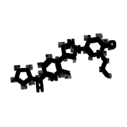 CCCn1cc(-n2cc(-c3ccc(NC4CCCC4)nc3C)cn2)ccc1=O